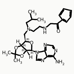 CC(C)CN(CCNCC(=O)c1ccccc1)C[C@H]1O[C@@H](n2cnc3c(N)ncnc32)[C@@H]2OC(C)(C)O[C@@H]21